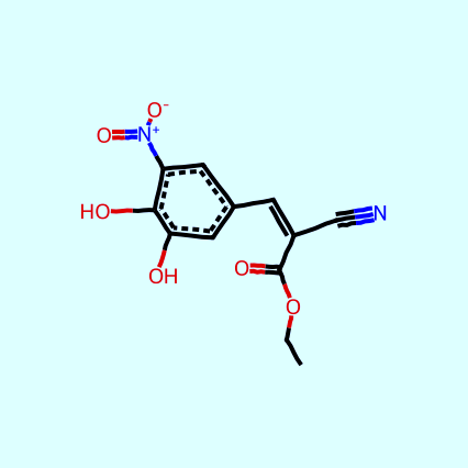 CCOC(=O)C(C#N)=Cc1cc(O)c(O)c([N+](=O)[O-])c1